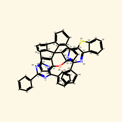 c1ccc(-c2nc(-c3ccccc3)nc(-c3cccc4c3C3(c5ccccc5Oc5ccccc53)c3c-4cccc3-c3nc(-c4ccccc4)nc4c3sc3ccccc34)n2)cc1